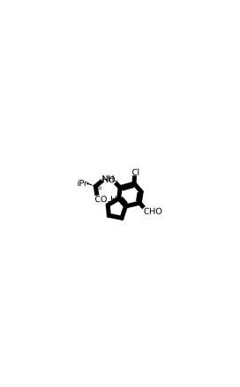 CC(C)[C@H](N)C(=O)O.O=Cc1cc(Cl)c(O)c2c1CCC2